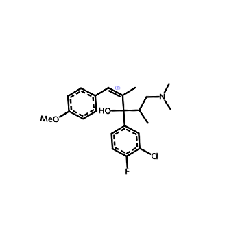 COc1ccc(/C=C(/C)C(O)(c2ccc(F)c(Cl)c2)C(C)CN(C)C)cc1